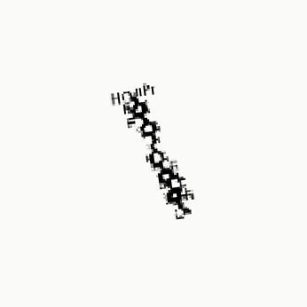 CCCC(O)c1ccc(C2=CCC(CCC3CCC(c4ccc(-c5ccc(C6CO6)c(F)c5F)c(F)c4F)CC3)CC2)c(F)c1F